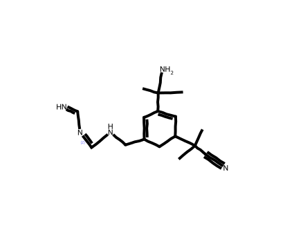 CC(C)(N)C1=CC(C(C)(C)C#N)CC(CN/C=N\C=N)=C1